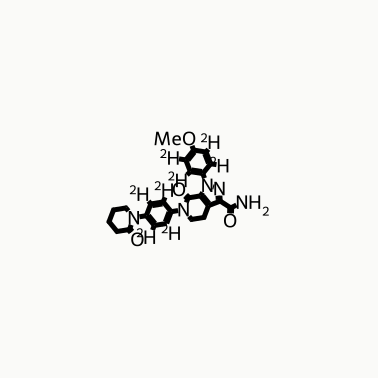 [2H]c1c([2H])c(-n2nc(C(N)=O)c3c2C(=O)N(c2c([2H])c([2H])c(N4CCCCC4=O)c([2H])c2[2H])CC3)c([2H])c([2H])c1OC